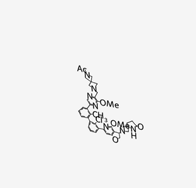 COc1nc(-c2cccc(-c3cccc(-c4cc5c(c(OC)n4)C(N4CC6(CCC(=O)N6)C4)CO5)c3Cl)c2C)cnc1CN1CC2(C1)CN(C(C)=O)C2